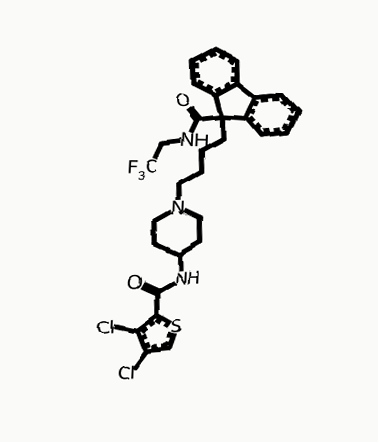 O=C(NC1CCN(CCCCC2(C(=O)NCC(F)(F)F)c3ccccc3-c3ccccc32)CC1)c1scc(Cl)c1Cl